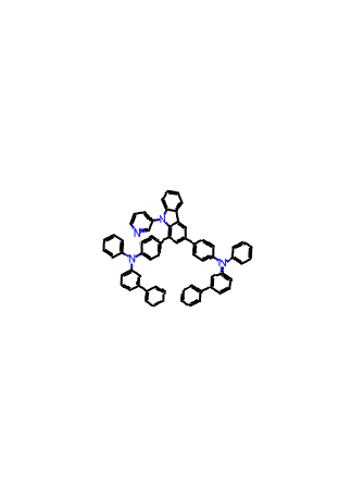 c1ccc(-c2cccc(N(c3ccccc3)c3ccc(-c4cc(-c5ccc(N(c6ccccc6)c6cccc(-c7ccccc7)c6)cc5)c5c(c4)c4ccccc4n5-c4cccnc4)cc3)c2)cc1